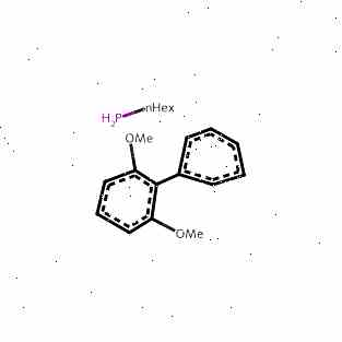 CCCCCCP.COc1cccc(OC)c1-c1ccccc1